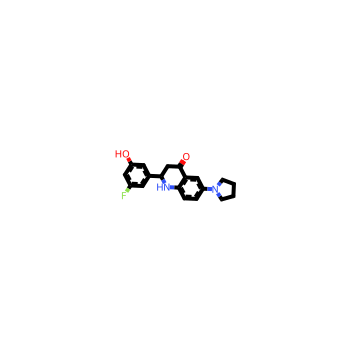 O=C1CC(c2cc(O)cc(F)c2)Nc2ccc(N3CCCC3)cc21